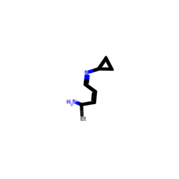 CCC(N)/C=C\C=N/C1CC1